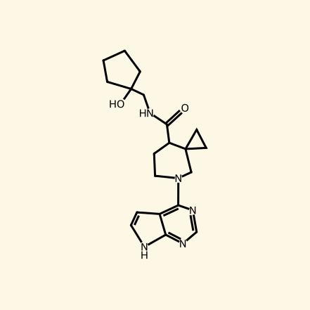 O=C(NCC1(O)CCCC1)C1CCN(c2ncnc3[nH]ccc23)CC12CC2